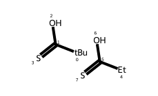 CC(C)(C)C(O)=S.CCC(O)=S